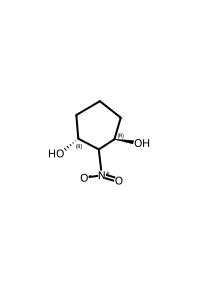 O=[N+]([O-])C1[C@H](O)CCC[C@H]1O